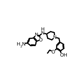 CCOc1cc(CN2CCC(Nc3nc4cc(N)ccc4o3)CC2)ccc1O